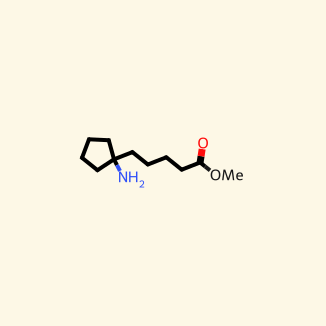 COC(=O)CCCCC1(N)CCCC1